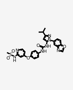 CC(C)c1cc(NC(=O)Nc2ccc(Oc3ccnc(NS(C)(=O)=O)c3)cc2)n(-c2ccc3ocnc3c2)n1